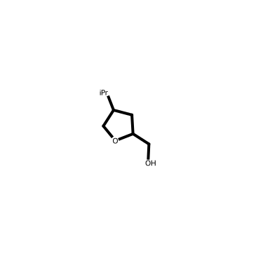 CC(C)C1COC(CO)C1